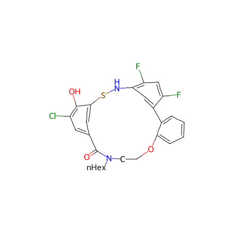 CCCCCCN1CCOc2ccccc2-c2cc(c(F)cc2F)NSc2cc(cc(Cl)c2O)C1=O